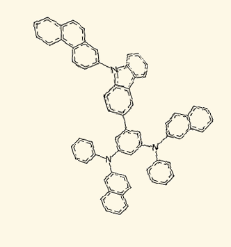 c1ccc(N(c2cc(-c3ccc4c(c3)c3ccccc3n4-c3ccc4c(ccc5ccccc54)c3)cc(N(c3ccccc3)c3ccc4ccccc4c3)c2)c2ccc3ccccc3c2)cc1